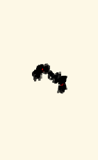 C[C@@H]1CN(c2cccc(-c3csc(NC(=O)CNC(=O)c4ccc5c(c4)[C@@](F)(C(F)F)COC5)n3)c2)C[C@H](C)O1